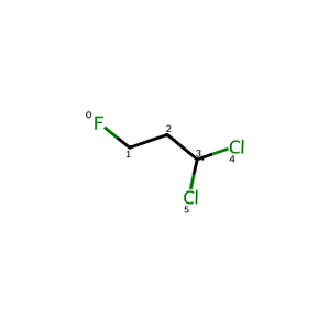 FCC[C](Cl)Cl